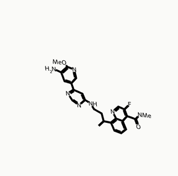 CNC(=O)c1c(F)cnc2c(C(C)CCNc3cc(-c4cnc(OC)c(N)c4)ncn3)cccc12